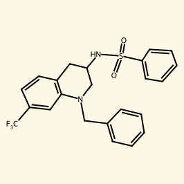 O=S(=O)(NC1Cc2ccc(C(F)(F)F)cc2N(Cc2ccccc2)C1)c1ccccc1